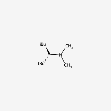 CC[C@H](C)[C@H](N(C)C)C(C)(C)C